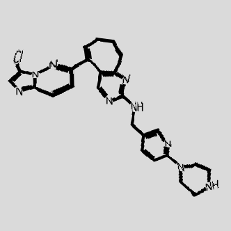 Clc1cnc2ccc(C3=CCCCc4nc(NCc5ccc(N6CCNCC6)nc5)ncc43)nn12